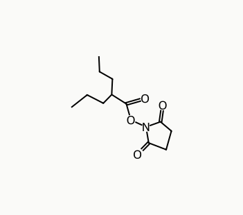 CCCC(CCC)C(=O)ON1C(=O)CCC1=O